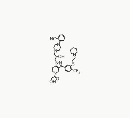 N#Cc1ccccc1N1CCN(CC(O)Cn2nc(-c3ccc(C(F)(F)F)c(SCCN4CCCCC4)c3)c3c2CCN(C(=O)CO)C3)CC1